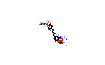 CC(C)(C)OC(=O)N1CCC(CCCCc2ccc(S(C)(=O)=O)c(N)c2)CC1